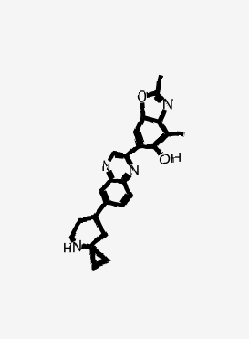 CC1=NC2C(C)=C(O)C(c3cnc4cc(C5CCNC6(CC6)C5)ccc4n3)=CC2O1